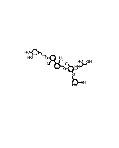 Cc1c(COc2cc(OCc3cncc(C#N)c3)c(CNCC(O)CO)cc2Cl)cccc1-c1cccc(OCCCN2CC[C@H](O)[C@@H](O)C2)c1Cl